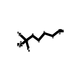 CC(C)(C)CCCCC(F)(F)C(F)(F)F